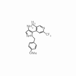 COc1ccc(Cn2ncc(N)c2-c2cc(C(F)(F)F)ncc2N)cc1